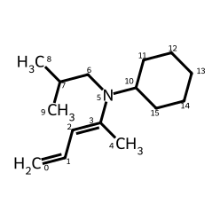 C=C/C=C(\C)N(CC(C)C)C1CCCCC1